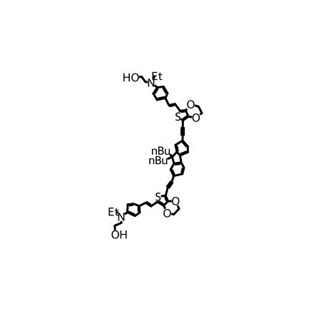 CCCCC1(CCCC)c2cc(C#Cc3sc(/C=C/c4ccc(N(CC)CCO)cc4)c4c3OCCO4)ccc2-c2ccc(C#Cc3sc(/C=C/c4ccc(N(CC)CCO)cc4)c4c3OCCO4)cc21